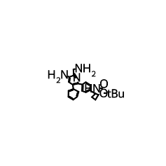 CC(C)(C)OC(=O)NC1(c2ccc(-c3nc(CN)c(N)cc3-c3ccccc3)cc2)CCC1